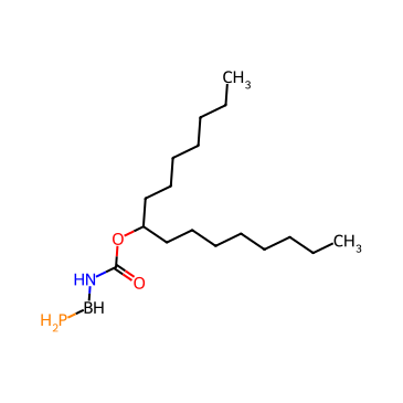 CCCCCCCCC(CCCCCCC)OC(=O)NBP